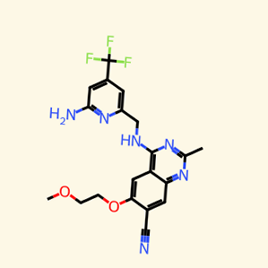 COCCOc1cc2c(NCc3cc(C(F)(F)F)cc(N)n3)nc(C)nc2cc1C#N